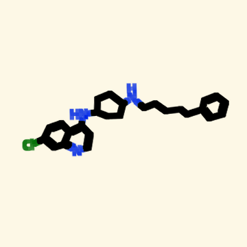 Clc1ccc2c(NC3CCC(NCCCCCc4ccccc4)CC3)ccnc2c1